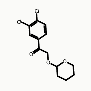 O=C(COC1CCCCO1)c1ccc(Cl)c(Cl)c1